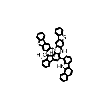 CC1(C)c2ccccc2-c2cc(-c3cccc4c3[nH]c3c5ccccc5ccc43)c3c(c21)N(c1ccc2sc4ccccc4c2c1)c1cc2c(cc1B3)sc1ccccc12